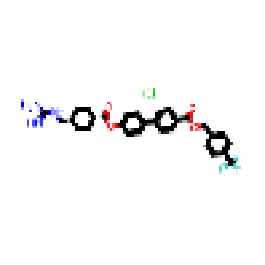 Cl.N=C(N)NC[C@H]1CC[C@H](C(=O)Oc2ccc(-c3ccc(C(=O)OCc4ccc(C(F)(F)F)cc4)cc3)cc2)CC1